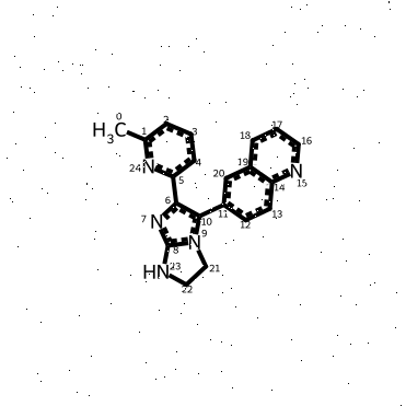 Cc1cccc(-c2nc3n(c2-c2ccc4ncccc4c2)CCN3)n1